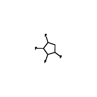 FC1CC(F)C(F)C1F